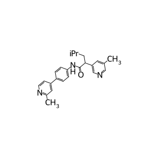 Cc1cncc(C(CC(C)C)C(=O)Nc2ccc(-c3ccnc(C)c3)cc2)c1